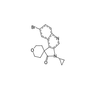 O=C1N(C2CC2)c2cnc3ccc(Br)cc3c2C12CCOCC2